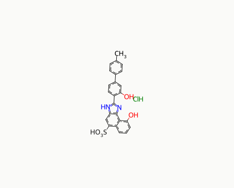 Cc1ccc(-c2ccc(-c3nc4c(cc(S(=O)(=O)O)c5cccc(O)c54)[nH]3)c(O)c2)cc1.Cl